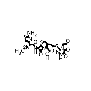 CON=C(C(=O)NC1C(=O)N2C(C(=O)O)=C(C=CSc3n[nH]c(=O)c(=O)n3CC=O)CSC12)c1csc(N)n1